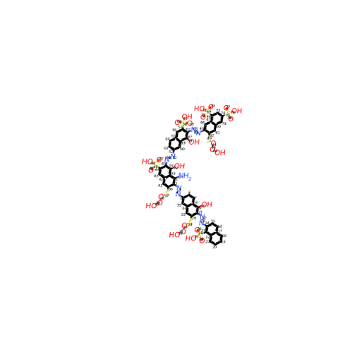 Nc1c(N=Nc2ccc3c(O)c(N=Nc4ccc5ccccc5c4S(=O)(=O)O)c(SOOO)cc3c2)c(SOOO)cc2cc(S(=O)(=O)O)c(N=Nc3ccc4cc(S(=O)(=O)O)c(N=Nc5cc6c(S(=O)(=O)O)cc(S(=O)(=O)O)cc6cc5SOOO)c(O)c4c3)c(O)c12